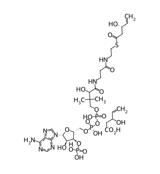 C=CC(O)CC(=O)O.C=C[C@@H](O)CC(=O)SCCNC(=O)CCNC(=O)C(O)C(C)(C)COP(=O)(O)OP(=O)(O)OC[C@H]1O[C@@H](n2cnc3c(N)ncnc32)[C@H](O)[C@@H]1OP(=O)(O)O